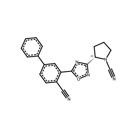 N#Cc1ccc(-c2ccccc2)cc1-c1nc([C@@H]2CCCN2C#N)no1